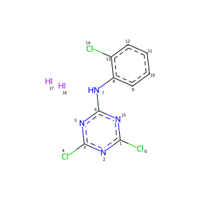 Clc1nc(Cl)nc(Nc2ccccc2Cl)n1.I.I